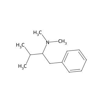 CC(C)C(Cc1ccccc1)N(C)C